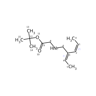 C/C=C\C(=C/C)CNCC(=O)OC(C)(C)C